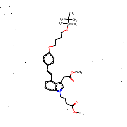 COC(=O)CCCn1cc(CC(=O)OC)c2c(C=Cc3ccc(OCCCCO[Si](C)(C)C(C)(C)C)cc3)cccc21